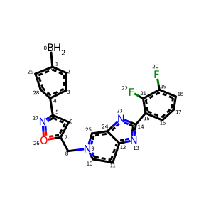 Bc1ccc(-c2cc(Cn3ccc4nc(-c5cccc(F)c5F)nc-4c3)on2)cc1